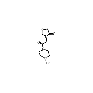 CC(C)N1CCN(C(=O)CN2CSCC2=O)CC1